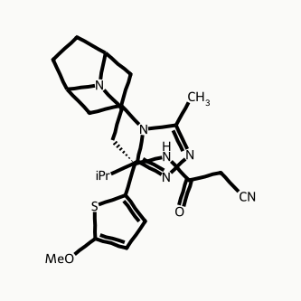 COc1ccc([C@H](CCN2C3CCC2CC(n2c(C)nnc2C(C)C)C3)NC(=O)CC#N)s1